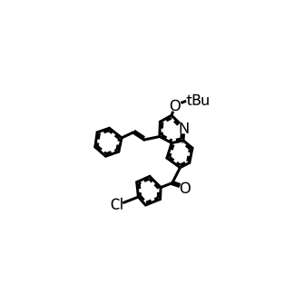 CC(C)(C)Oc1cc(C=Cc2ccccc2)c2cc(C(=O)c3ccc(Cl)cc3)ccc2n1